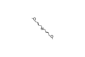 COCC=CC[N]CC=CCOC